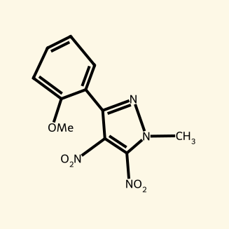 COc1ccccc1-c1nn(C)c([N+](=O)[O-])c1[N+](=O)[O-]